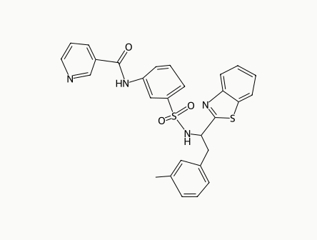 Cc1cccc(CC(NS(=O)(=O)c2cccc(NC(=O)c3cccnc3)c2)c2nc3ccccc3s2)c1